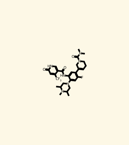 CC1CN(c2cc(F)c(C3=CCCN(C(=O)N(C)C)C3)cc2NC(=O)c2c[nH]c(=O)cc2C(F)(F)F)CC(C)N1C